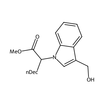 CCCCCCCCCCC(C(=O)OC)n1cc(CO)c2ccccc21